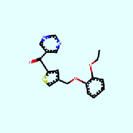 CCOc1ccccc1OCc1csc(C(=O)c2cncnc2)c1